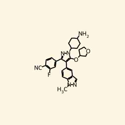 Cn1ncc2cc(-c3c(-c4ccc(C#N)c(F)c4)nn(C4CCC(N)CC4)c3OC3CCOC3)ccc21